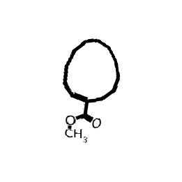 COC(=O)C1=CCCCCCCCCCC1